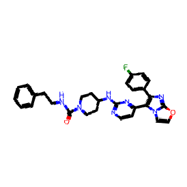 O=C(NCCc1ccccc1)N1CCC(Nc2nccc(-c3c(-c4ccc(F)cc4)nc4occn34)n2)CC1